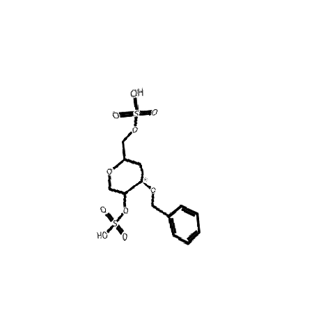 O=S(=O)(O)OCC1C[C@@H](OCc2ccccc2)C(OS(=O)(=O)O)CO1